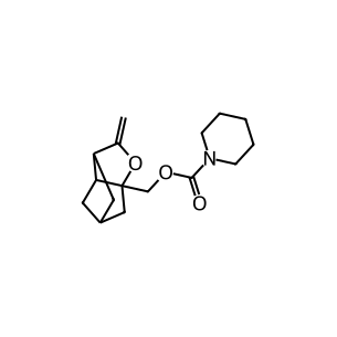 C=C1OC2(COC(=O)N3CCCCC3)CC3CC1C2C3